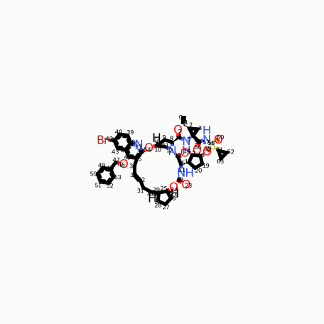 C=C[C@@H]1C[C@]1(NC(=O)[C@@H]1C[C@@H]2CN1C(=O)[C@H](C1CCCC1)NC(=O)O[C@@H]1CCC[C@H]1CC/C=C/Cc1c(nc3ccc(Br)cc3c1OCc1ccccc1)O2)C(=O)NS(=O)(=O)C1CC1